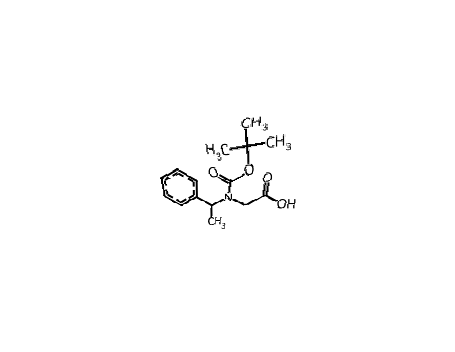 CC(c1ccccc1)N(CC(=O)O)C(=O)OC(C)(C)C